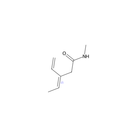 C=C/C(=C\C)CC(=O)NC